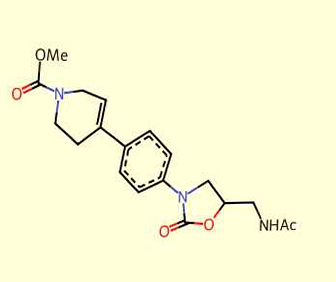 COC(=O)N1CC=C(c2ccc(N3CC(CNC(C)=O)OC3=O)cc2)CC1